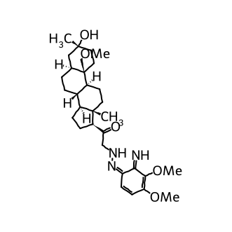 COC[C@]12CC[C@@](C)(O)C[C@@H]1CC[C@H]1[C@@H]3CC[C@H](C(=O)CN/N=C4/C=CC(OC)=C(OC)C4=N)[C@@]3(C)CC[C@@H]12